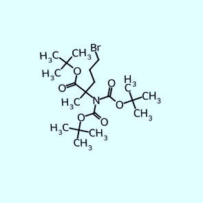 CC(C)(C)OC(=O)N(C(=O)OC(C)(C)C)C(C)(CCCBr)C(=O)OC(C)(C)C